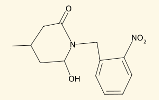 CC1CC(=O)N(Cc2ccccc2[N+](=O)[O-])C(O)C1